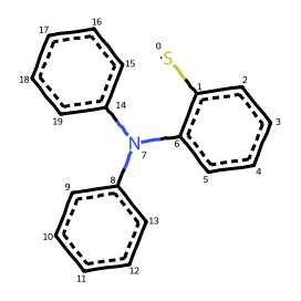 [S]c1ccccc1N(c1ccccc1)c1ccccc1